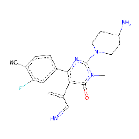 C=C(C=N)c1c(-c2ccc(C#N)c(F)c2)nc(N2CCC(N)CC2)n(C)c1=O